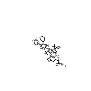 C[C@@H]1CN(C(=O)[C@@H](NC(=O)N[C@H](C(=O)N2C[C@]3(C[C@H]2C(=O)NC(CC2CCC2)C(=O)C(N)=O)C(C)(C)C32CCC2)C(C)(C)C)C2CCCCC2)C[C@H](C)O1